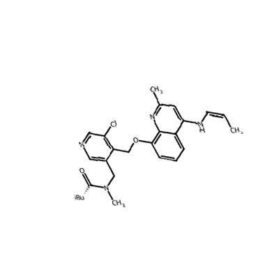 C/C=C\Nc1cc(C)nc2c(OCc3c(Cl)cncc3CN(C)C(=O)[C@@H](C)CC)cccc12